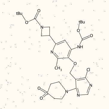 Cc1nc(C2CN(C(=O)OC(C)(C)C)C2)cc(NC(=O)OC(C)(C)C)c1OCc1c(Cl)ncnc1N1CCS(=O)(=O)CC1